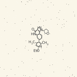 CCOc1cc(C)c(-c2ccc3c(c2)[nH]c(=O)c2cnn(C4CCOC4)c23)c(C)n1